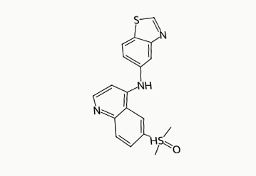 C[SH](C)(=O)c1ccc2nccc(Nc3ccc4scnc4c3)c2c1